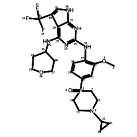 COc1cc(P2(=O)CCN(C3CC3)CC2)ccc1Nc1nc(NC2CCOCC2)c2c(C(F)(F)F)c[nH]c2n1